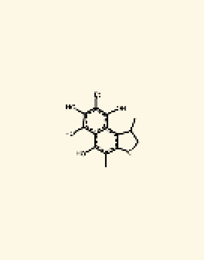 CCc1c(O)c(O)c2c(O)c(C)c3c(c2c1O)C(C)CO3